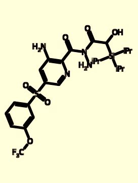 CC(C)[Si](C(C)C)(C(C)C)C(O)C(=O)N(N)C(=O)c1ncc(S(=O)(=O)c2cccc(OC(F)(F)F)c2)cc1N